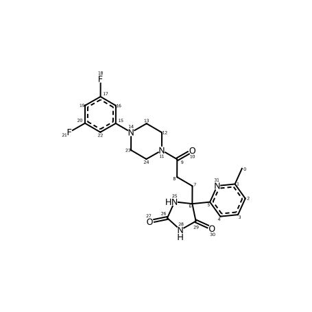 Cc1cccc(C2(CCC(=O)N3CCN(c4cc(F)cc(F)c4)CC3)NC(=O)NC2=O)n1